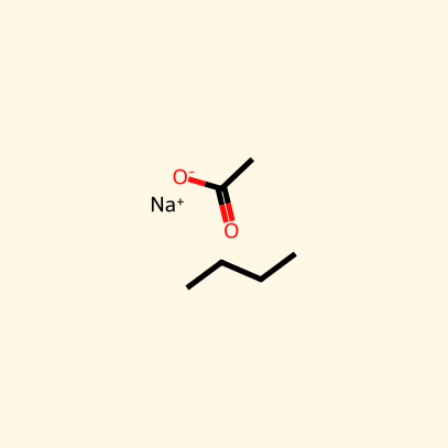 CC(=O)[O-].CCCC.[Na+]